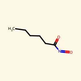 CCCCCC(=O)N=O